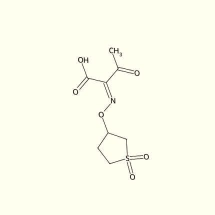 CC(=O)C(=NOC1CCS(=O)(=O)C1)C(=O)O